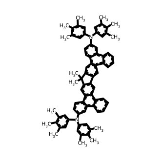 Cc1cc(N(c2cc(C)c(C)c(C)c2)c2ccc3c(c2)c2ccccc2c2cc4c(cc32)C(C)(C)c2cc3c5ccc(N(c6cc(C)c(C)c(C)c6)c6cc(C)c(C)c(C)c6)cc5c5ccccc5c3cc2-4)cc(C)c1C